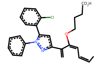 C=C(/C(=C\C=C/C)OCCCC(=O)O)c1cc(-c2ccccc2Cl)n(-c2ccccc2)n1